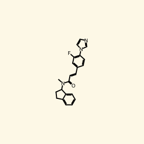 CN(C(=O)C=Cc1ccc(-n2ccnc2)c(F)c1)C1CCc2ccccc21